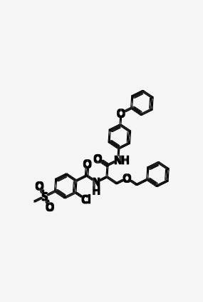 CS(=O)(=O)c1ccc(C(=O)NC(COCc2ccccc2)C(=O)Nc2ccc(Oc3ccccc3)cc2)c(Cl)c1